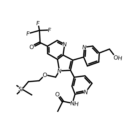 CC(=O)Nc1cc(-c2c(-c3ccc(CO)cn3)c3ncc(C(=O)C(F)(F)F)cc3n2COCC[Si](C)(C)C)ccn1